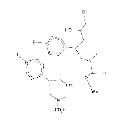 CN(CC(CC(O)CO)c1ccc(F)cc1)C(=O)OC(C)(C)C.CN(CC(CC=O)c1ccc(F)cc1)C(=O)O